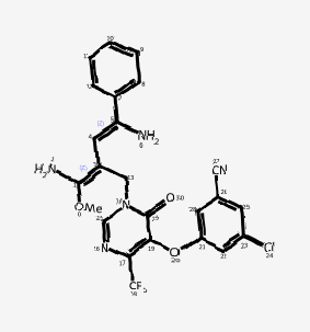 CO/C(N)=C(/C=C(\N)c1ccccc1)Cn1cnc(C(F)(F)F)c(Oc2cc(Cl)cc(C#N)c2)c1=O